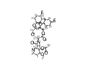 COc1ccnc(C(=O)N[C@H]2COC[C@H](Oc3ccc(F)cc3)[C@@H](Oc3ccc(F)cc3)[C@H](C)OC2=O)c1OC(C)=O